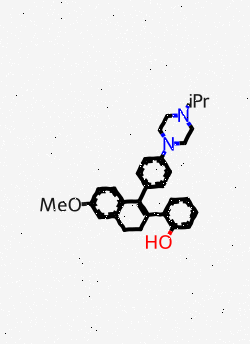 COc1ccc2c(c1)CCC(c1ccccc1O)=C2c1ccc(N2CCN(C(C)C)CC2)cc1